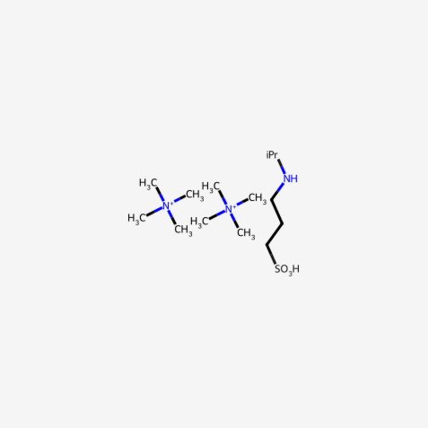 CC(C)NCCCS(=O)(=O)O.C[N+](C)(C)C.C[N+](C)(C)C